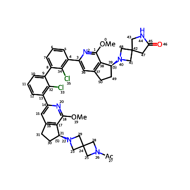 COc1nc(-c2cccc(-c3cccc(-c4cc5c(c(OC)n4)[C@@H](N4CC6(CN(C(C)=O)C6)C4)CC5)c3Cl)c2Cl)cc2c1[C@@H](N1CC3(CNC(=O)C3)C1)CC2